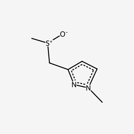 Cn1ccc(C[S+](C)[O-])n1